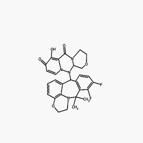 CC1(C)c2c(ccc(F)c2F)C(N2C3COCCN3C(=O)c3c(O)c(=O)ccn32)c2cccc3c2N1CCO3